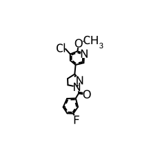 COc1ncc(C2=NN(C(=O)c3cccc(F)c3)CC2)cc1Cl